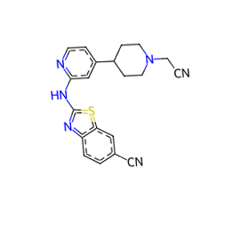 N#CCN1CCC(c2ccnc(Nc3nc4ccc(C#N)cc4s3)c2)CC1